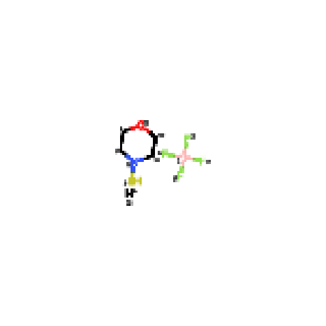 F[B-](F)(F)F.SN1CCOCC1.[H+]